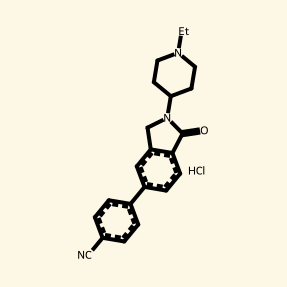 CCN1CCC(N2Cc3cc(-c4ccc(C#N)cc4)ccc3C2=O)CC1.Cl